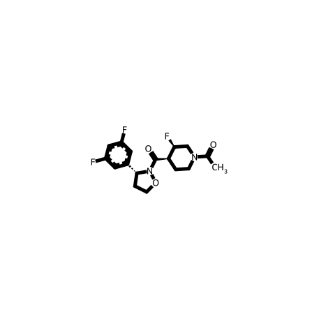 CC(=O)N1CC[C@@H](C(=O)N2OCC[C@@H]2c2cc(F)cc(F)c2)[C@@H](F)C1